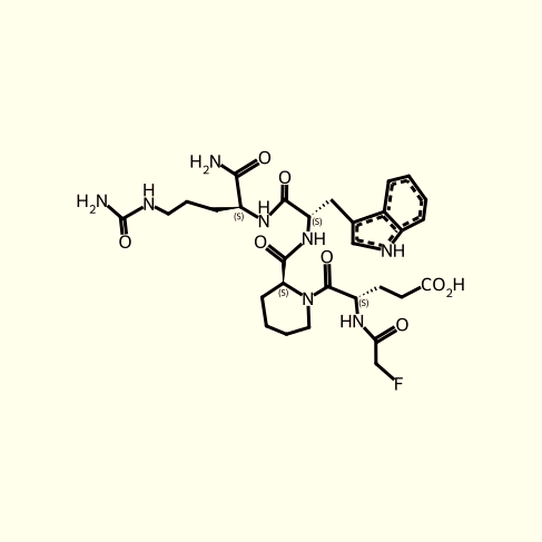 NC(=O)NCCC[C@H](NC(=O)[C@H](Cc1c[nH]c2ccccc12)NC(=O)[C@@H]1CCCCN1C(=O)[C@H](CCC(=O)O)NC(=O)CF)C(N)=O